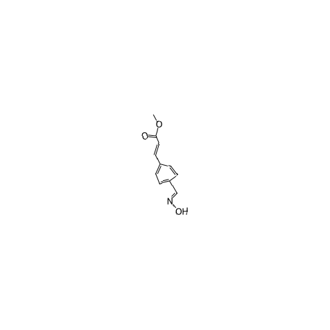 COC(=O)C=Cc1ccc(C=NO)cc1